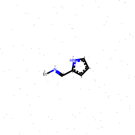 CC/N=C/c1ccc[nH]1